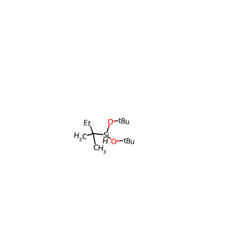 CCC(C)(C)[SiH](OC(C)(C)C)OC(C)(C)C